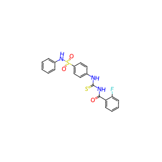 O=C(NC(=S)Nc1ccc(S(=O)(=O)Nc2ccccc2)cc1)c1ccccc1F